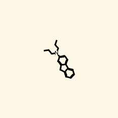 CCCN(CCC)c1ccc2c(c1)Cc1ccccc1-2